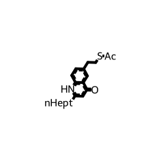 CCCCCCCc1cc(=O)c2cc(CCSC(C)=O)ccc2[nH]1